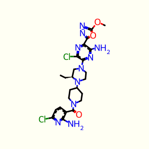 CC[C@H]1CN(c2nc(N)c(-c3nnc(OC)o3)nc2Cl)CCN1C1CCN(C(=O)c2ccc(Cl)nc2N)CC1